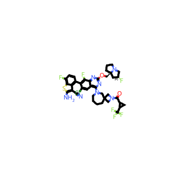 N#Cc1c(N)sc2c(F)ccc(-c3c(Cl)cc4c(N5CCCCC6(CN(C(=O)C7CC7C(F)(F)F)C6)C5)nc(OC[C@@]56CCCN5C[C@H](F)C6)nc4c3F)c12